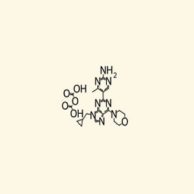 Cc1nc(N)ncc1-c1nc(N2CCOCC2)c2ncn(CC3CC3)c2n1.O=C(O)OC(=O)O